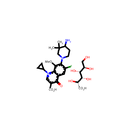 COc1c(N2CCC(N)C(C)(C)C2)c(F)cc2c(=O)c(C(=O)O)cn(C3CC3)c12.O=C(O)[C@H](O)[C@@H](O)[C@H](O)[C@H](O)CO